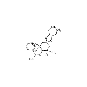 CCCOC1(OCCC)CC(C)(C)N(OC(C)c2ccccc2)C(C)(C)C1